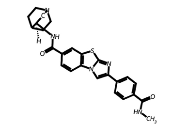 CNC(=O)c1ccc(-c2cn3c(n2)sc2cc(C(=O)N[C@@H]4CN5CCC4CC5)ccc23)cc1